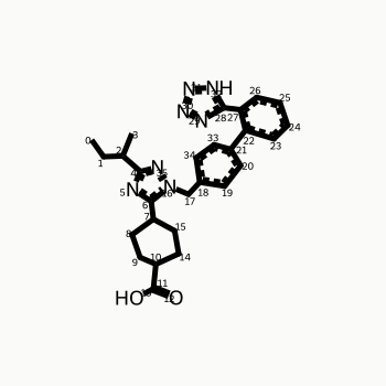 CCC(C)c1nc(C2CCC(C(=O)O)CC2)n(Cc2ccc(-c3ccccc3-c3nnn[nH]3)cc2)n1